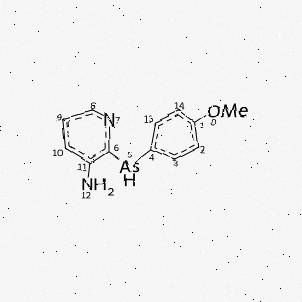 COc1ccc([AsH]c2ncccc2N)cc1